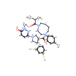 CC(C)C(=O)N1CCCC[N+](C(=O)[C@@H]2CN(c3ccc(=O)n(C)n3)C[C@H]2c2ccc(F)cc2F)(c2ccc(Cl)cc2)CC1